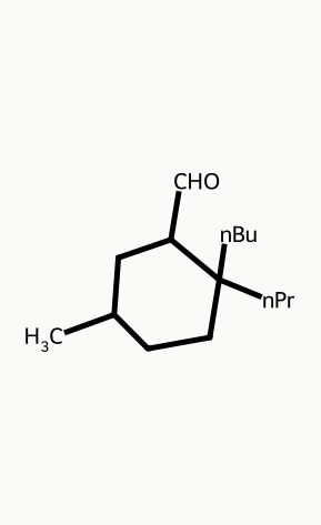 CCCCC1(CCC)CCC(C)CC1C=O